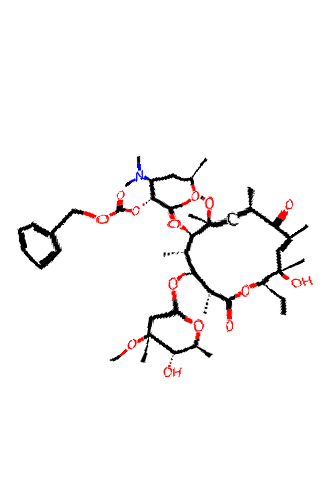 CC[C@H]1OC(=O)[C@H](C)[C@@H](OC2C[C@@](C)(OC)[C@@H](O)[C@H](C)O2)[C@H](C)[C@@H](OC2O[C@H](C)C[C@H](N(C)C)[C@H]2OC(=O)OCc2ccccc2)[C@](C)(OC)C[C@@H](C)C(=O)/C(C)=C/[C@]1(C)O